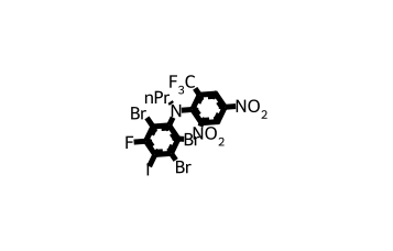 CCCN(c1c([N+](=O)[O-])cc([N+](=O)[O-])cc1C(F)(F)F)c1c(Br)c(F)c(I)c(Br)c1Br